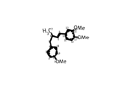 COc1ccc(CC(C)C=Cc2ccc(OC)c(OC)c2)cc1